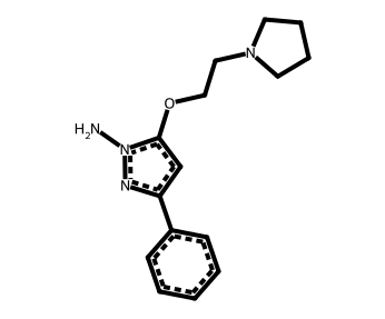 Nn1nc(-c2ccccc2)cc1OCCN1CCCC1